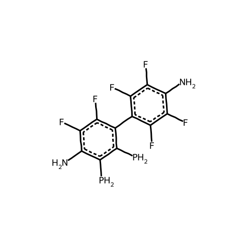 Nc1c(F)c(F)c(-c2c(F)c(F)c(N)c(P)c2P)c(F)c1F